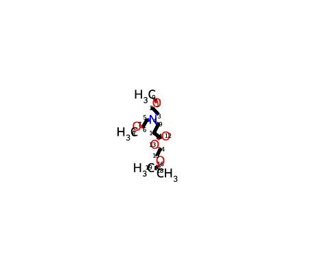 COCCN(CCOC)CCC(=O)OCCOC(C)C